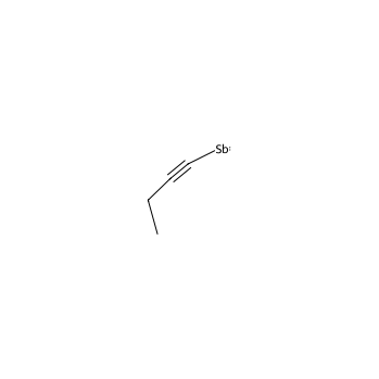 CCC#[C][Sb]